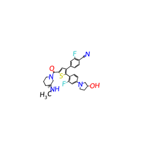 CN[C@@H]1CCCN(C(=O)c2cc(-c3ccc(C#N)c(F)c3)c(-c3ccc(N4CCC(O)C4)cc3F)s2)C1